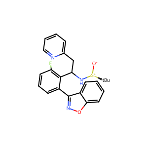 CC(C)(C)[S@+]([O-])NC(Cc1ccccn1)c1c(F)cccc1-c1noc2ccccc12